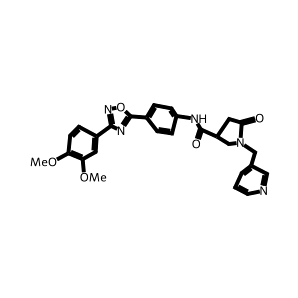 COc1ccc(-c2noc(-c3ccc(NC(=O)C4CC(=O)N(Cc5cccnc5)C4)cc3)n2)cc1OC